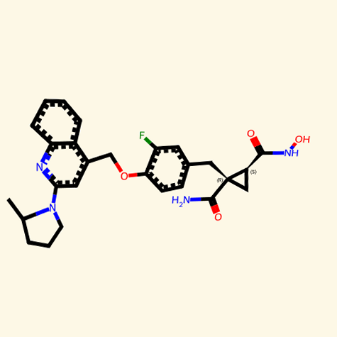 CC1CCCN1c1cc(COc2ccc(C[C@]3(C(N)=O)C[C@@H]3C(=O)NO)cc2F)c2ccccc2n1